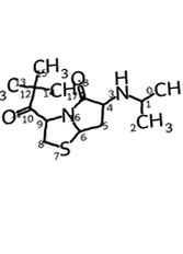 CC(C)NC1CC2SCC(C(=O)C(C)(C)C)N2C1=O